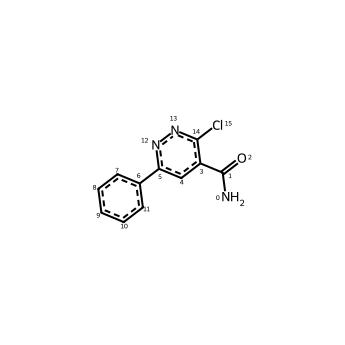 NC(=O)c1cc(-c2ccccc2)nnc1Cl